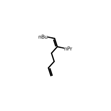 C=CCCC(=CCCCC)CCC